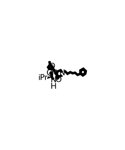 Cc1ccc(CN2C(=O)[C@H](CC(C)C)NC(=O)C23CCN(CCCCCCc2ccccc2)CC3)o1